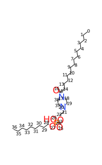 CCCCCCCCCCCCCCCC(=O)N1CCN(CCOP(=O)(O)OCCCCCCCCC)CC1